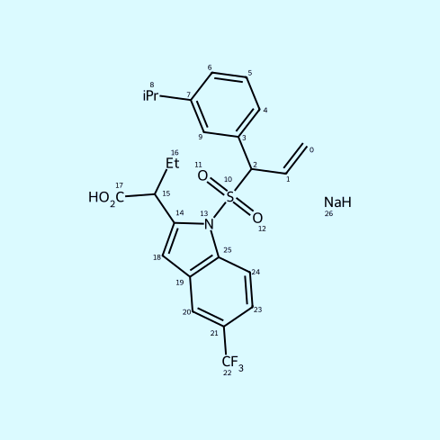 C=CC(c1cccc(C(C)C)c1)S(=O)(=O)n1c(C(CC)C(=O)O)cc2cc(C(F)(F)F)ccc21.[NaH]